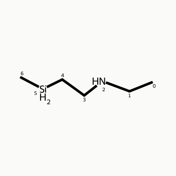 CCNCC[SiH2]C